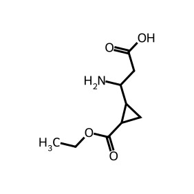 CCOC(=O)C1CC1C(N)CC(=O)O